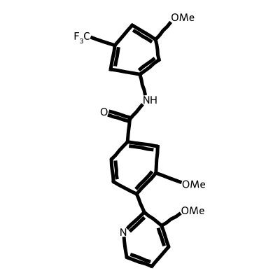 COc1cc(NC(=O)c2ccc(-c3ncccc3OC)c(OC)c2)cc(C(F)(F)F)c1